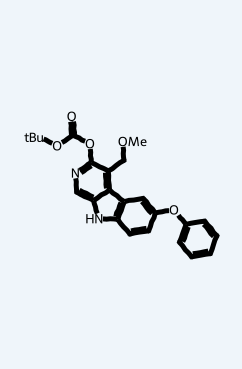 COCc1c(OC(=O)OC(C)(C)C)ncc2[nH]c3ccc(Oc4ccccc4)cc3c12